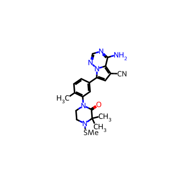 CSN1CCN(c2cc(-c3cc(C#N)c4c(N)ncnn34)ccc2C)C(=O)C1(C)C